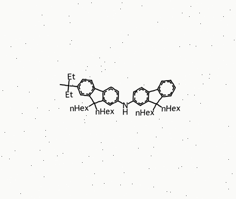 CCCCCCC1(CCCCCC)c2ccccc2-c2ccc(Nc3ccc4c(c3)C(CCCCCC)(CCCCCC)c3cc(C(C)(CC)CC)ccc3-4)cc21